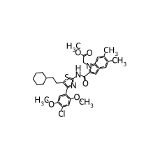 COC(=O)Cn1c(C(=O)Nc2nc(-c3cc(OC)c(Cl)cc3OC)c(CCC3CCCCC3)s2)cc2cc(C)c(C)cc21